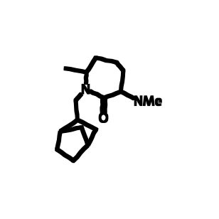 CNC1CCCC(C)N(CC2CC3CCC2C3)C1=O